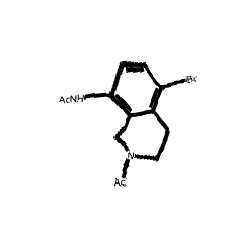 CC(=O)Nc1ccc(Br)c2c1CN(C(C)=O)CC2